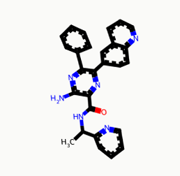 CC(NC(=O)c1nc(-c2ccc3ncccc3c2)c(-c2ccccc2)nc1N)c1ccccn1